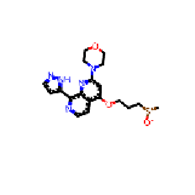 C[S+]([O-])CCCOc1cc(N2CCOCC2)nc2c(-c3ccn[nH]3)nccc12